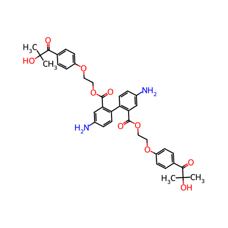 CC(C)(O)C(=O)c1ccc(OCCOC(=O)c2cc(N)ccc2-c2ccc(N)cc2C(=O)OCCOc2ccc(C(=O)C(C)(C)O)cc2)cc1